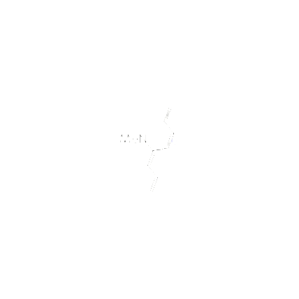 C=C/C=C\C(=C/C=C)NC